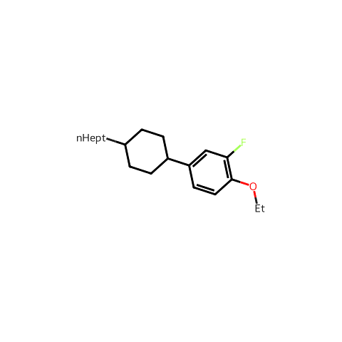 CCCCCCCC1CCC(c2ccc(OCC)c(F)c2)CC1